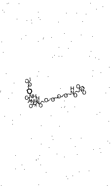 CCC(=O)OCc1ccc(NC(=O)[C@H](C)NC(=O)[C@H](C)NC(=O)CCOCCOCCOCCOCCNC(=O)CCN2C(=O)C=CC2=O)cc1